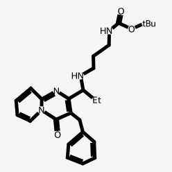 CCC(NCCCNC(=O)OC(C)(C)C)c1nc2ccccn2c(=O)c1Cc1ccccc1